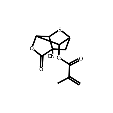 C=C(C)C(=O)OC1C2CC3(C#N)C(=O)OC1C3S2